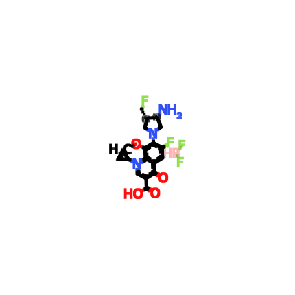 COc1c(N2C[C@H](CF)[C@H](N)C2)c(F)cc2c(=O)c(C(=O)O)cn(C3CC3)c12.FBF